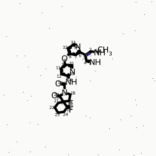 CN/C=C(\C=N)c1cc(Oc2ccc(NC(=O)N3CCC4(CCCCC4(F)F)C3=O)nc2)ccn1